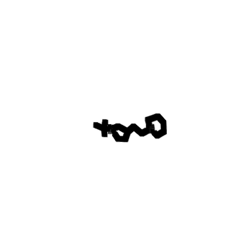 CC(C)(C)N1CCC(CCN2CCCCC2)C1